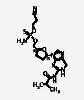 CC(C)C(=O)NC1=Nc2c(ncn2[C@H]2CC[C@@H](COP(N)(=S)OCCC#N)O2)CN1